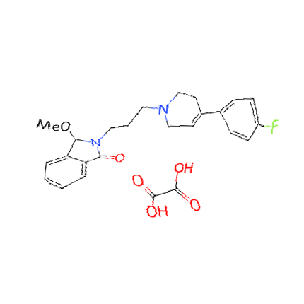 COC1c2ccccc2C(=O)N1CCCN1CC=C(c2ccc(F)cc2)CC1.O=C(O)C(=O)O